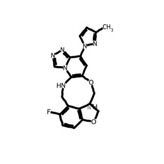 Cc1ccn(-c2cc3c(n4cnnc24)NCc2c(F)ccc4c2[C@@H](CO4)CO3)n1